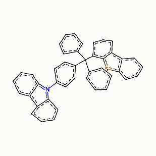 c1ccc(C(c2ccccc2)(c2ccc(-n3c4ccccc4c4ccccc43)cc2)c2cccc3c2sc2ccccc23)cc1